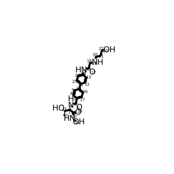 C[C@@H](O)[C@H](NC(=O)c1ccc(-c2ccc(NC(=O)CNCCCO)cc2)cc1)C(=O)NO